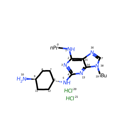 CCCNc1nc(N[C@H]2CC[C@H](N)CC2)nc2c1ncn2C(C)CC.Cl.Cl